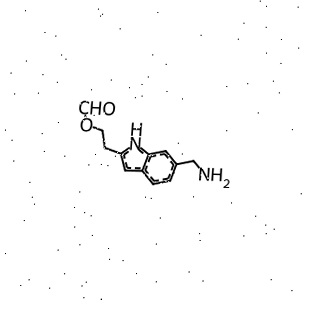 NCc1ccc2cc(CCOC=O)[nH]c2c1